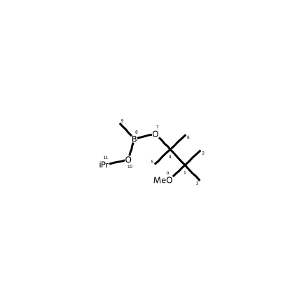 COC(C)(C)C(C)(C)OB(C)OC(C)C